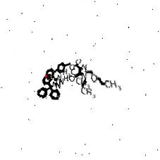 CCCOCc1nc(C(=O)OCc2ccc(-c3ccccc3-c3nnnn3C(c3ccccc3)(c3ccccc3)c3ccccc3)cc2)c(C(C)(C)O)n1CCC